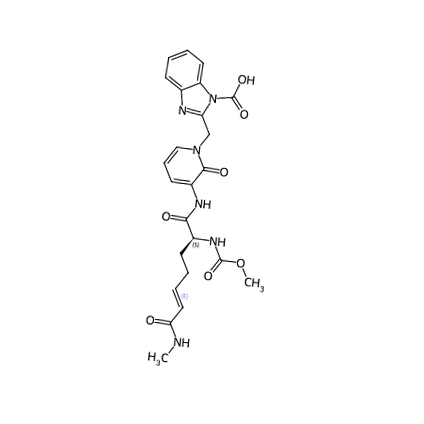 CNC(=O)/C=C/CC[C@H](NC(=O)OC)C(=O)Nc1cccn(Cc2nc3ccccc3n2C(=O)O)c1=O